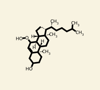 CC(C)CCC[C@@H](C)[C@H]1CC[C@H]2[C@@H]3C(OO)C=C4CC(O)CC[C@]4(C)[C@H]3CC[C@]12C